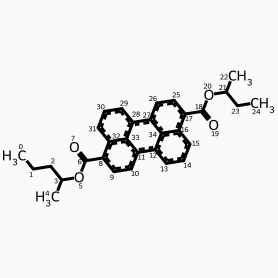 CCCC(C)OC(=O)c1ccc2c3cccc4c(C(=O)OC(C)CC)ccc(c5cccc1c52)c43